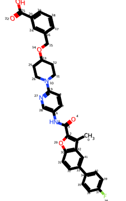 Cc1c(C(=O)Nc2ccc(N3CCC(OCc4cccc(C(=O)O)c4)CC3)nc2)oc2ccc(-c3ccc(F)cc3)cc12